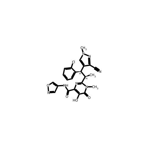 C[C@@H](c1nc(C(=O)Nc2cnoc2)c(O)c(=O)n1C)[C@@H](c1ccccc1Cl)c1cn(C)nc1C#N